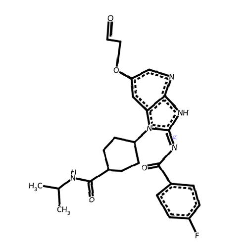 CC(C)NC(=O)C1CCC(n2/c(=N\C(=O)c3ccc(F)cc3)[nH]c3ncc(OCC=O)cc32)CC1